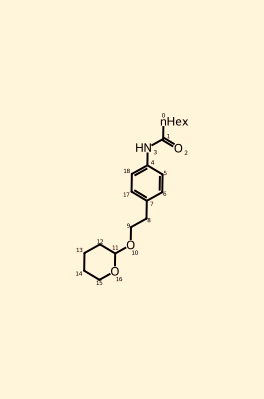 CCCCCCC(=O)Nc1ccc(CCOC2CCCCO2)cc1